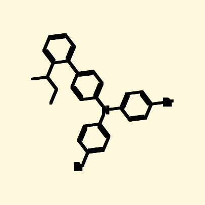 CCC(C)c1ccccc1-c1ccc(N(c2ccc(Br)cc2)c2ccc(Br)cc2)cc1